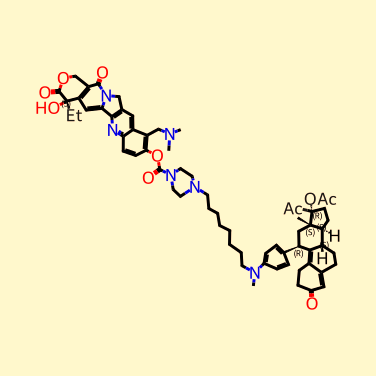 CC[C@@]1(O)C(=O)OCc2c1cc1n(c2=O)Cc2cc3c(CN(C)C)c(OC(=O)N4CCN(CCCCCCCCN(C)c5ccc([C@H]6C[C@@]7(C)[C@@H](CC[C@]7(OC(C)=O)C(C)=O)[C@@H]7CCC8=CC(=O)CCC8=C76)cc5)CC4)ccc3nc2-1